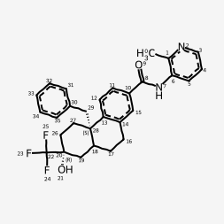 Cc1ncccc1NC(=O)c1ccc2c(c1)CCC1C[C@@](O)(C(F)(F)F)CC[C@@]21Cc1ccccc1